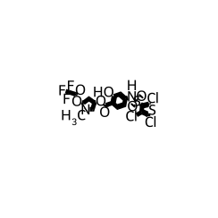 CN1CC(OC(=O)c2ccc(NS(=O)(=O)c3c(Cl)sc(Cl)c3Cl)cc2O)CC1OC(=O)C(F)(F)F